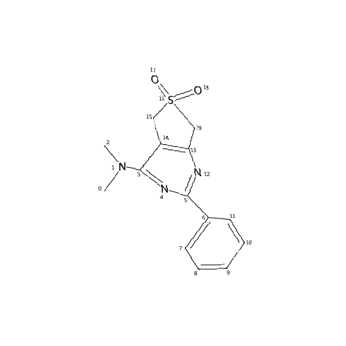 CN(C)c1nc(-c2ccccc2)nc2c1CS(=O)(=O)C2